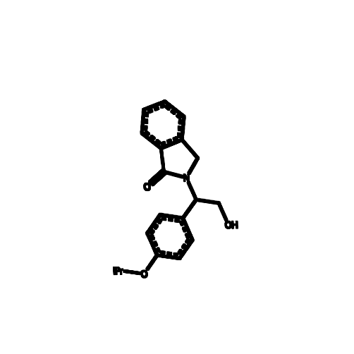 CC(C)Oc1ccc(C(CO)N2Cc3ccccc3C2=O)cc1